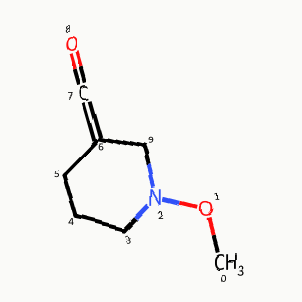 CON1CCCC(=C=O)C1